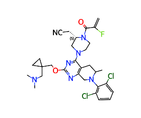 C=C(F)C(=O)N1CCN(c2nc(OCC3(CN(C)C)CC3)nc3c2CC(C)N(c2c(Cl)cccc2Cl)C3)C[C@@H]1CC#N